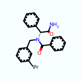 CC(C)c1cccc(CN(C(=O)c2ccccc2)[C@@H](C(N)=O)c2ccccc2)c1